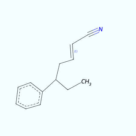 CCC(C/C=C/C#N)c1ccccc1